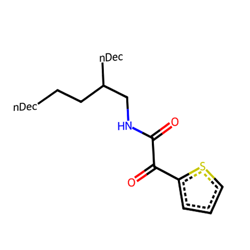 CCCCCCCCCCCCC(CCCCCCCCCC)CNC(=O)C(=O)c1cccs1